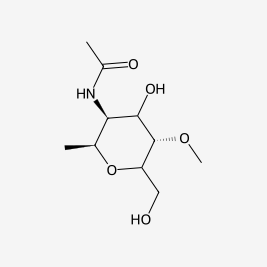 CO[C@@H]1C(CO)O[C@@H](C)[C@@H](NC(C)=O)C1O